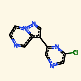 Clc1cncc(-c2cnn3ccncc23)n1